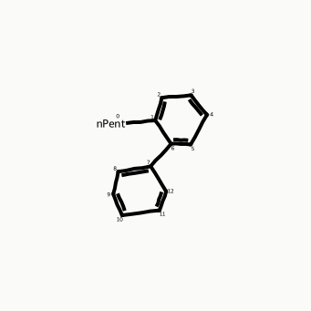 [CH2]CCCCc1ccccc1-c1ccccc1